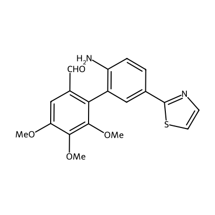 COc1cc(C=O)c(-c2cc(-c3nccs3)ccc2N)c(OC)c1OC